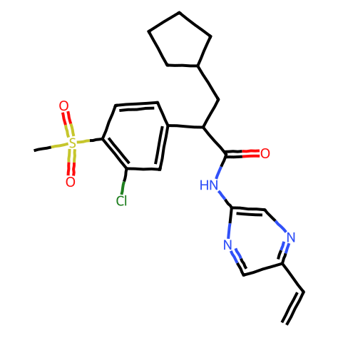 C=Cc1cnc(NC(=O)C(CC2CCCC2)c2ccc(S(C)(=O)=O)c(Cl)c2)cn1